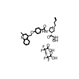 C=CCCN1C[C@H](C(=O)NO)[C@H](NC(=O)c2ccc(OCc3cc(C)nc4ccccc34)cc2)C1.O=C(O)C(F)(F)F.O=C(O)C(F)(F)F